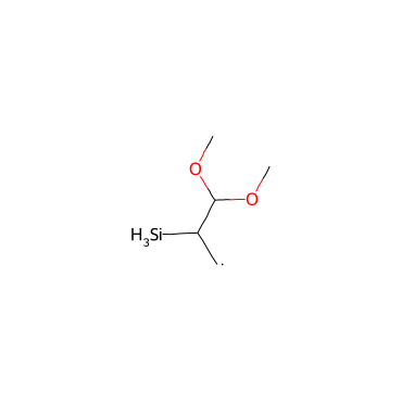 [CH2]C([SiH3])C(OC)OC